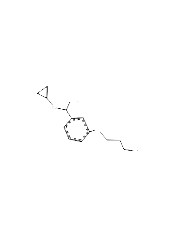 COCCCOc1cccc(C(C)NC2CC2)c1